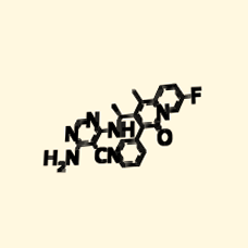 Cc1c([C@H](C)Nc2ncnc(N)c2C#N)c(-c2ccccc2)c(=O)n2cc(F)ccc12